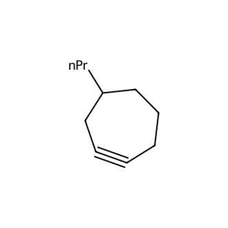 CCCC1CC#CCCC1